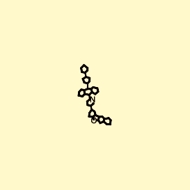 c1ccc(-c2ccc(-c3c4ccccc4c(-c4ccc(-c5ccc6oc7cc8ccccc8cc7c6c5)cn4)c4ccccc34)cc2)cc1